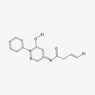 CCC=CCC(=O)/N=c1/cnn(-c2ccccc2)c(OCC)c1